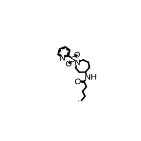 [CH2]CCCC(=O)NC1CCCN(S(=O)(=O)c2ccccn2)CC1